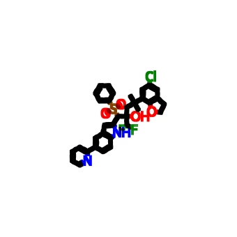 CC(C)(CC(O)(C(F)F)C(c1cc2cc(-c3ccccn3)ccc2[nH]1)S(=O)(=O)c1ccccc1)c1cc(Cl)cc2c1OCC2